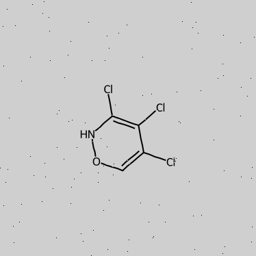 ClC1=CONC(Cl)=C1Cl